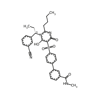 CCCCc1nc(=O)c(S(=O)(=O)c2ccc(-c3cccc(C(=O)NC)c3)cc2)c(O)n1[C@@H](CC)c1cccc(C#N)c1